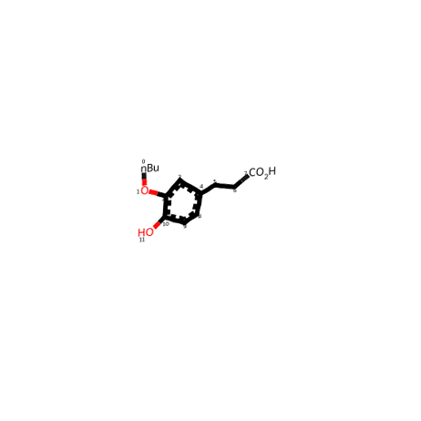 CCCCOc1cc(CCC(=O)O)ccc1O